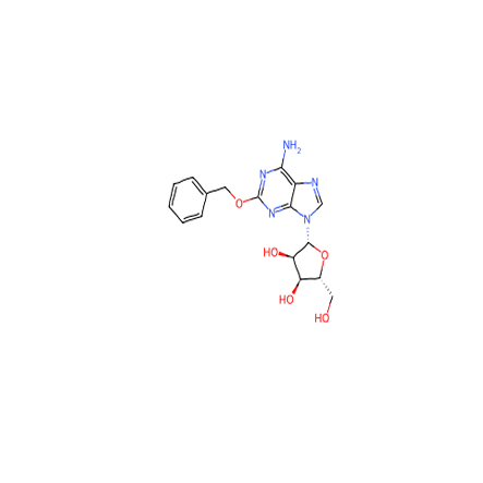 Nc1nc(OCc2ccccc2)nc2c1ncn2[C@@H]1O[C@H](CO)[C@@H](O)[C@H]1O